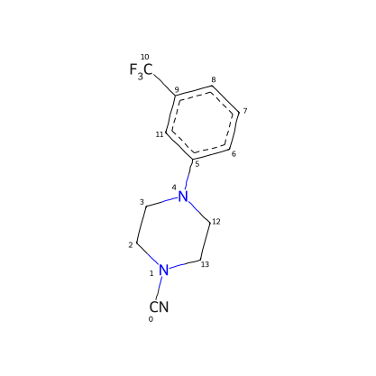 N#CN1CCN(c2cccc(C(F)(F)F)c2)CC1